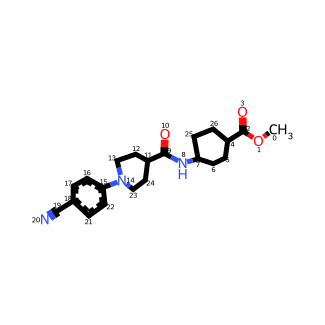 COC(=O)C1CCC(NC(=O)C2CCN(c3ccc(C#N)cc3)CC2)CC1